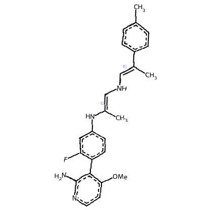 COc1ccnc(N)c1-c1ccc(N/C(C)=C/N/C=C(\C)c2ccc(C)cc2)cc1F